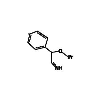 CC(C)OC(C=N)c1cc[c]cc1